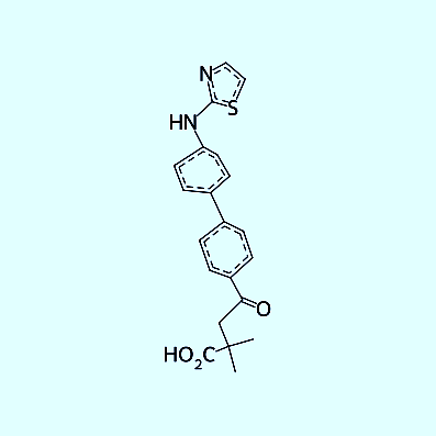 CC(C)(CC(=O)c1ccc(-c2ccc(Nc3nccs3)cc2)cc1)C(=O)O